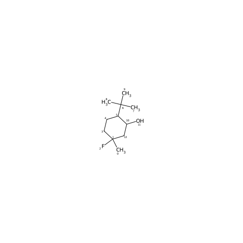 CC1(F)CCC(C(C)(C)C)C(O)C1